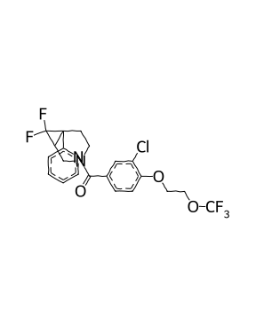 O=C(c1ccc(OCCOC(F)(F)F)c(Cl)c1)N1CCC2(c3ccccn3)C(C1)C2(F)F